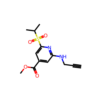 C#CCNc1cc(C(=O)OC)cc(S(=O)(=O)C(C)C)n1